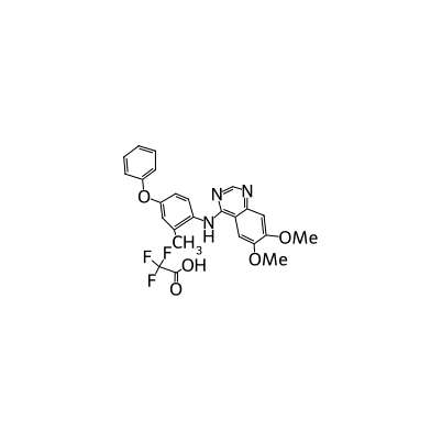 COc1cc2ncnc(Nc3ccc(Oc4ccccc4)cc3C)c2cc1OC.O=C(O)C(F)(F)F